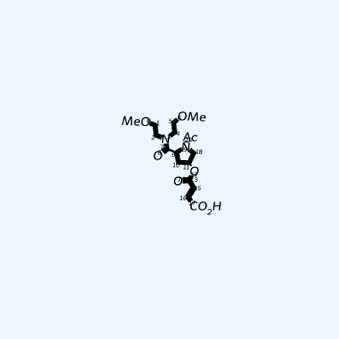 COCCN(CCOC)C(=O)[C@@H]1C[C@@H](OC(=O)/C=C/C(=O)O)CN1C(C)=O